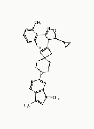 Cc1cccc(C)c1-c1noc(C2CC2)c1C1=CC2(CCN(c3ncc4c(C)cn(C)c4n3)CC2)C1